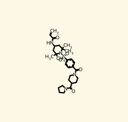 C=CC(=O)NC1CC(C)(C)N(S(=O)(=O)c2ccc(C(=O)N3CCC(C(=O)N4CCCC4)CC3)cc2)C(C)(C)C1